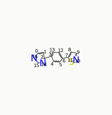 c1cc(-c2ccc(-c3ccns3)cc2)ncn1